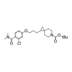 CN(C)C(=O)c1ccc(OCCCC2CC23CCN(C(=O)OC(C)(C)C)CC3)cc1Cl